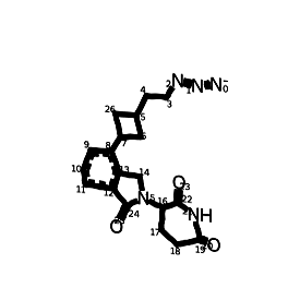 [N-]=[N+]=NCCC1CC(c2cccc3c2CN(C2CCC(=O)NC2=O)C3=O)C1